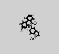 CC(=O)N1CCc2cc(NC(=O)c3ccccc3-c3ccc(C)cc3)ccc21